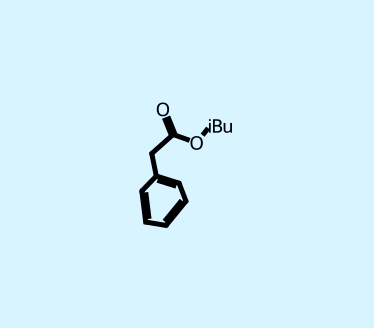 CCC(C)OC(=O)Cc1ccccc1